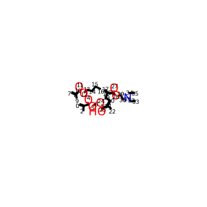 C=C(C)C(=O)OC.C=C(C)C(=O)OCCCC.C=C(CC=C(C)C(=O)O)C(=O)OCCN(CC)CC